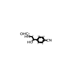 N#Cc1ccc(C(O)CNC=O)cc1